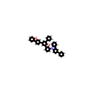 c1ccc(-c2ccc3c(c2)c2ccccc2n3-c2cccc3c2oc2c(-c4ccccc4)cc(-c4ccc5c(c4)oc4ccccc45)cc23)cc1